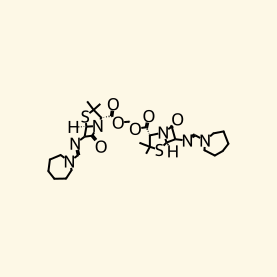 CC1(C)S[C@@H]2C(/N=C/N3CCCCCC3)C(=O)N2[C@H]1C(=O)OCOC(=O)[C@@H]1N2C(=O)C(/N=C/N3CCCCCC3)[C@H]2SC1(C)C